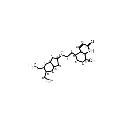 CCC1CC2CC(NCCC3CCC(O)C4NC(=O)C=CC34)CC2CC1CC